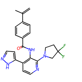 C=C(C)c1ccc(C(=O)Nc2c(-c3ccn[nH]3)ccnc2N2CCC(F)(F)C2)cc1